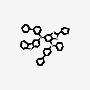 c1ccc(-c2ccc(N(c3ccccc3)c3cc(N(c4cccc(-c5ccccc5)c4)c4ccc5oc6ccccc6c5c4)cc4nc(-c5ccccc5)oc34)cc2)cc1